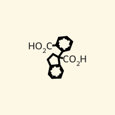 O=C(O)c1ccccc1C1(C(=O)O)CCc2ccccc21